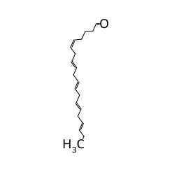 CCC=CCC=CCC=CCC=CC/C=C\CCCC=O